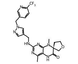 Cc1nc(NCc2cnn(Cc3ccc(C(F)(F)F)nc3)c2)nc2c1NC(=O)[C@]1(CCOC1)N2C